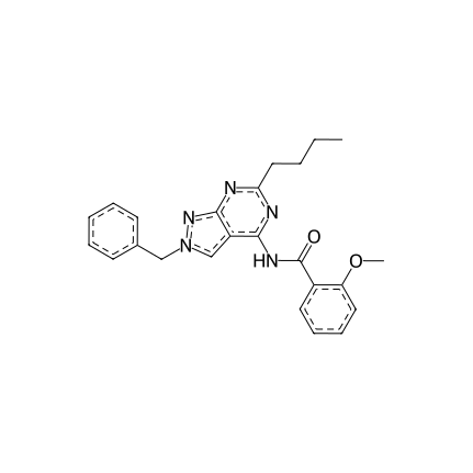 CCCCc1nc(NC(=O)c2ccccc2OC)c2cn(Cc3ccccc3)nc2n1